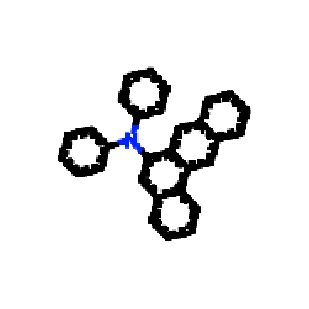 c1ccc(N(c2ccccc2)c2cc3ccccc3c3cc4ccccc4cc23)cc1